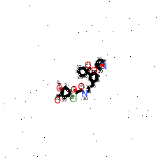 COc1cc(OCC(=O)N(C)CCCc2cccc(C3(C(=O)OC4CN5CCC4CC5)CCCCC3)c2)c(Cl)cc1C=O